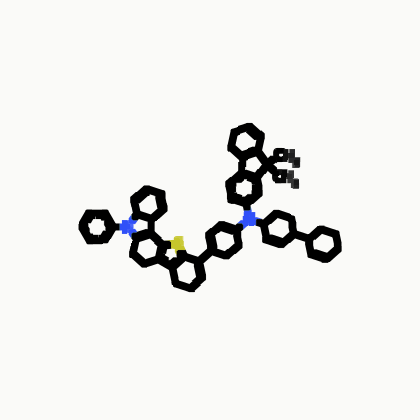 CC1(C)C2=C(CCC=C2)c2ccc(N(C3=CC=C(C4=CCCc5c4sc4c5CCC5=C4C4C=CC=CC4N5c4ccccc4)CC3)C3C=CC(C4C=CCCC4)CC3)cc21